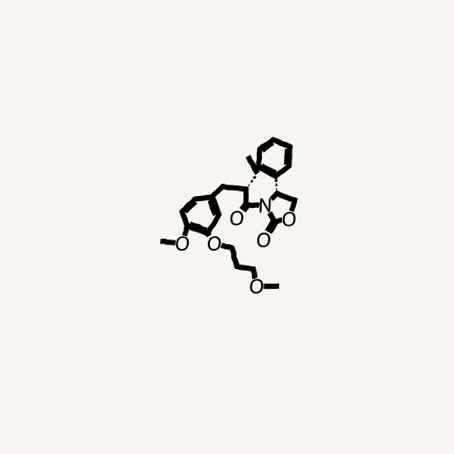 CC[C@@H](Cc1ccc(OC)c(OCCCOC)c1)C(=O)N1C(=O)OC[C@H]1c1ccccc1